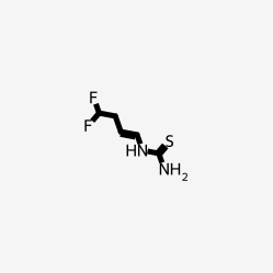 NC(=S)NC=CCC(F)F